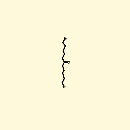 O=C(CCCCCBr)CCCCCBr